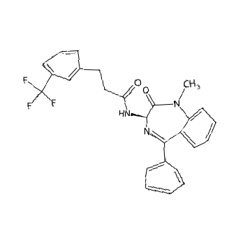 CN1C(=O)[C@H](NC(=O)CCc2cccc(C(F)(F)F)c2)N=C(c2ccccc2)c2ccccc21